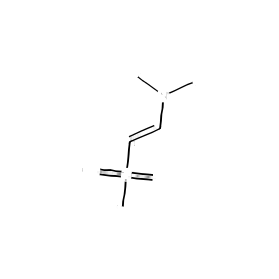 CN(C)/C=C/S(C)(=O)=O